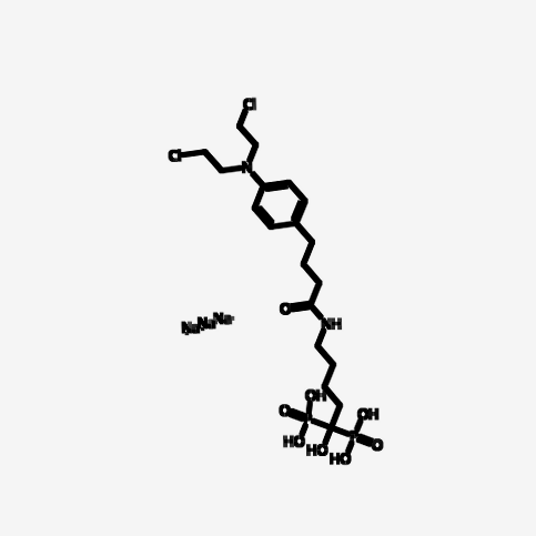 O=C(CCCc1ccc(N(CCCl)CCCl)cc1)NCCCCC(O)(P(=O)(O)O)P(=O)(O)O.[Na].[Na].[Na]